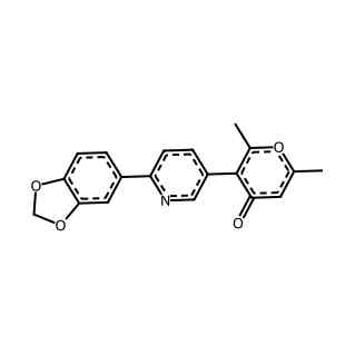 Cc1cc(=O)c(-c2ccc(-c3ccc4c(c3)OCO4)nc2)c(C)o1